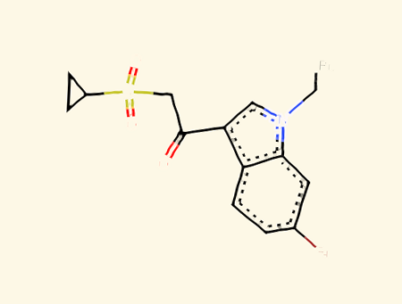 CC(C)(C)Cn1cc(C(=O)CS(=O)(=O)C2CC2)c2ccc(Br)cc21